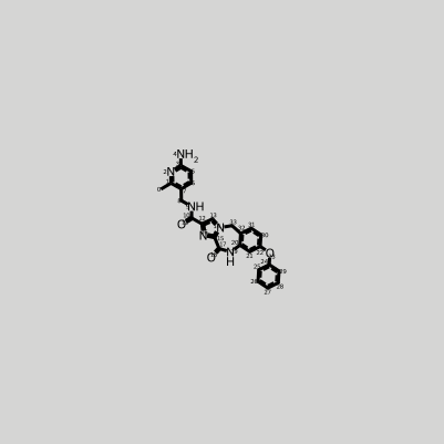 Cc1nc(N)ccc1CNC(=O)c1cn2c(n1)C(=O)Nc1cc(Oc3ccccc3)ccc1C2